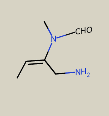 C/C=C(\CN)N(C)C=O